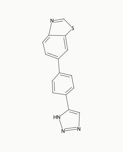 c1nc2ccc(-c3ccc(-c4cnn[nH]4)cc3)cc2s1